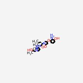 CC(C)C[C@@H](C(=O)Nc1ccn(CC(C)(C)O)n1)N1CC(Oc2cccc(O)c2N)=CC1=O